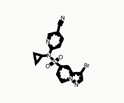 N#Cc1ccc(N(C2CC2)S(=O)(=O)c2ccn3ncc(Br)c3c2)nc1